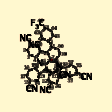 N#Cc1ccc(-n2c3ccc(C#N)cc3c3cc(C#N)ccc32)c(-c2cc(-n3c4ccc(C#N)cc4c4cc(C#N)ccc43)ccc2-c2ccc(C(F)(F)F)cc2C#N)c1